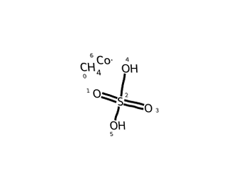 C.O=S(=O)(O)O.[Co]